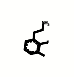 Cc1cccc(CCN)c1F